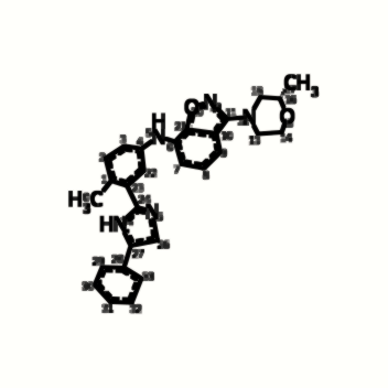 Cc1ccc(Nc2cccc3c(N4CCO[C@@H](C)C4)noc23)cc1-c1ncc(-c2ccccc2)[nH]1